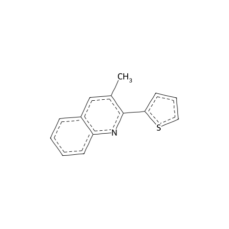 Cc1cc2ccccc2nc1-c1cccs1